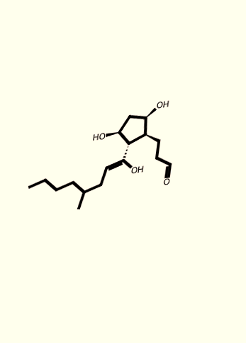 CCCCC(C)CC=C(O)[C@H]1[C@H](CCC=O)[C@H](O)C[C@@H]1O